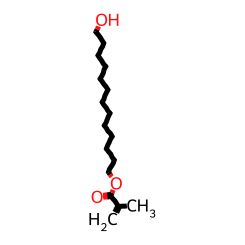 C=C(C)C(=O)OCCCCCCCCCCCCCO